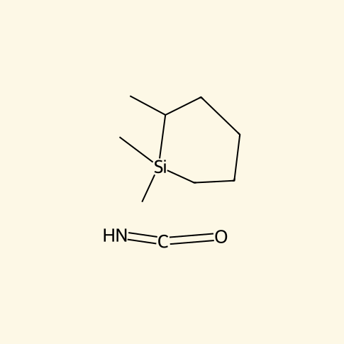 CC1CCCC[Si]1(C)C.N=C=O